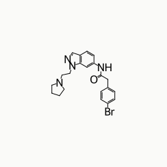 O=C(Cc1ccc(Br)cc1)Nc1ccc2cnn(CCN3CCCC3)c2c1